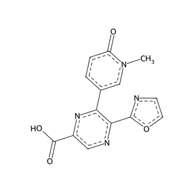 Cn1cc(-c2nc(C(=O)O)cnc2-c2ncco2)ccc1=O